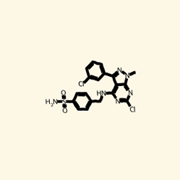 Cn1nc(-c2cccc(Cl)c2)c2c(NCc3ccc(S(N)(=O)=O)cc3)nc(Cl)nc21